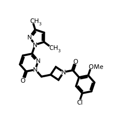 COc1ccc(Cl)cc1C(=O)N1CC(Cn2nc(-n3nc(C)cc3C)ccc2=O)C1